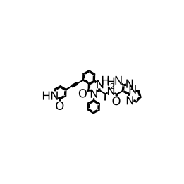 CC(NC(=O)c1c(N)nn2cccnc12)c1nc2cccc(C#Cc3cc[nH]c(=O)c3)c2c(=O)n1-c1ccccc1